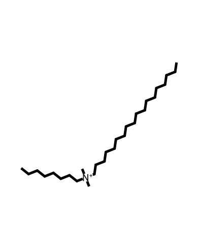 CCCCCCCCCCCCCCCCCC[N+](C)(C)CCCCCCCC